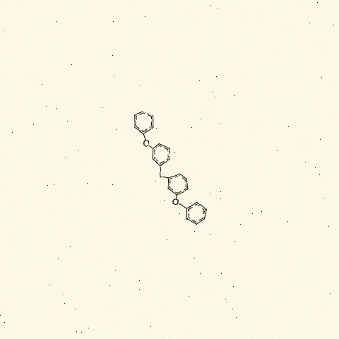 c1ccc(Oc2cccc(Cc3cccc(Oc4ccccc4)c3)c2)cc1